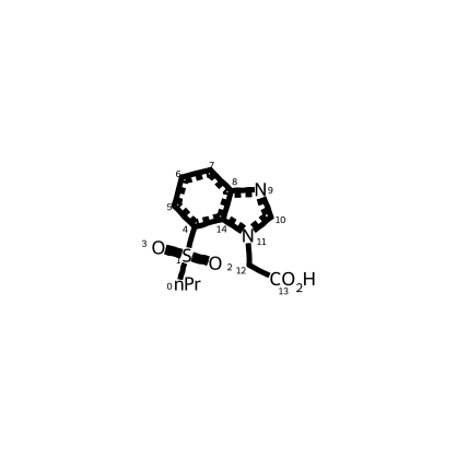 CCCS(=O)(=O)c1cccc2ncn(CC(=O)O)c12